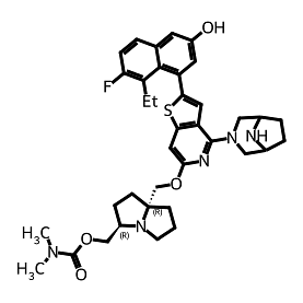 CCc1c(F)ccc2cc(O)cc(-c3cc4c(N5CC6CCC(C5)N6)nc(OC[C@]56CCCN5[C@@H](COC(=O)N(C)C)CC6)cc4s3)c12